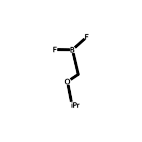 CC(C)OCB(F)F